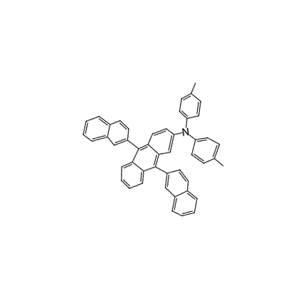 Cc1ccc(N(c2ccc(C)cc2)c2ccc3c(-c4ccc5ccccc5c4)c4ccccc4c(-c4ccc5ccccc5c4)c3c2)cc1